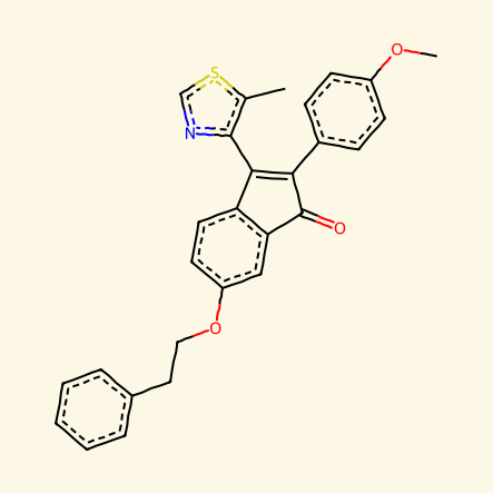 COc1ccc(C2=C(c3ncsc3C)c3ccc(OCCc4ccccc4)cc3C2=O)cc1